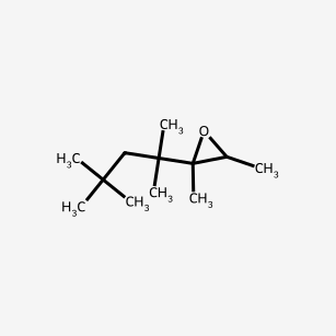 CC1OC1(C)C(C)(C)CC(C)(C)C